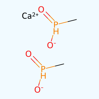 C[PH](=O)[O-].C[PH](=O)[O-].[Ca+2]